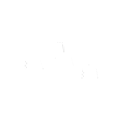 CCOC(=O)C=C(CCc1ccccc1)CCc1ccccc1